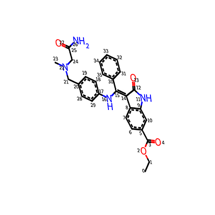 CCOC(=O)c1ccc2c(c1)NC(=O)C2=C(Nc1ccc(CN(C)CC(N)=O)cc1)c1ccccc1